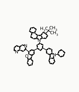 CC(C)(C)c1ccc2c(c1)c1c3ccccc3ccc1n2-c1cc(-c2cc(-c3cc4ncccc4cn3)c3oc4ccccc4c3c2)cc(-c2ccc3c(c2)c2ccccc2n3-c2ccccc2)c1